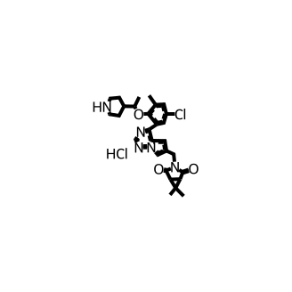 Cc1cc(Cl)cc(-c2ncnn3cc(CN4C(=O)C5C(C4=O)C5(C)C)cc23)c1OC(C)C1CCNCC1.Cl